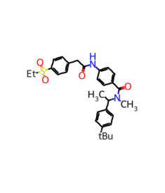 CCS(=O)(=O)c1ccc(CC(=O)Nc2ccc(C(=O)N(C)C(C)c3ccc(C(C)(C)C)cc3)cc2)cc1